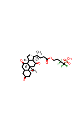 C[C@H](CCC(=O)OCCC(F)(F)C(F)(F)S(=O)(=O)O)[C@H]1CC[C@@H]2[C@@H]3C(=O)CC4CC(=O)CC[C@]4(C)[C@H]3CC(=O)[C@@]21C